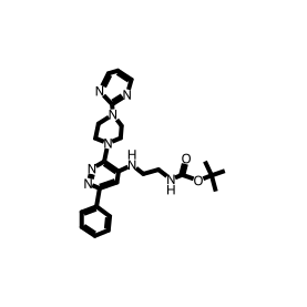 CC(C)(C)OC(=O)NCCNc1cc(-c2ccccc2)nnc1N1CCN(c2ncccn2)CC1